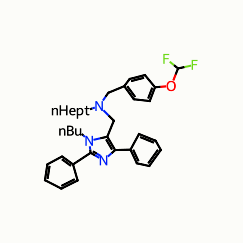 CCCCCCCN(Cc1ccc(OC(F)F)cc1)Cc1c(-c2ccccc2)nc(-c2ccccc2)n1CCCC